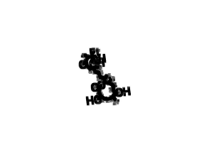 CCC(O)C(C)C1OC1CC(C)(O)/C=C/C=C(\C)C1OC(=O)CC(O)CCC(C)C(O)/C=C/C1C